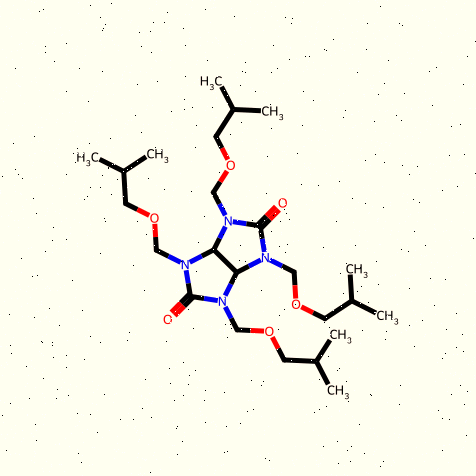 CC(C)COCN1C(=O)N(COCC(C)C)C2C1N(COCC(C)C)C(=O)N2COCC(C)C